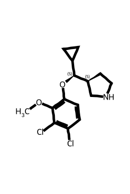 COc1c(O[C@@H](C2CC2)[C@H]2CCNC2)ccc(Cl)c1Cl